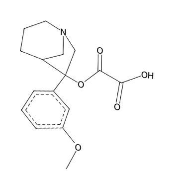 COc1cccc(C2(OC(=O)C(=O)O)CN3CCCC2C3)c1